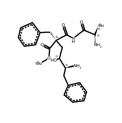 CC[C@H](C)[C@H](N)C(=O)NC(=O)[C@@](Cc1ccccc1)(C[C@H](O)[C@@H](N)Cc1ccccc1)C(=O)OC(C)(C)C